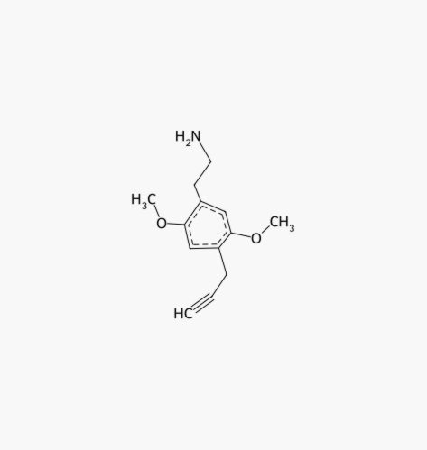 C#CCc1cc(OC)c(CCN)cc1OC